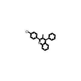 Cc1c(-c2ccc(Cl)cc2)nc2ccccc2c1-c1ccccc1